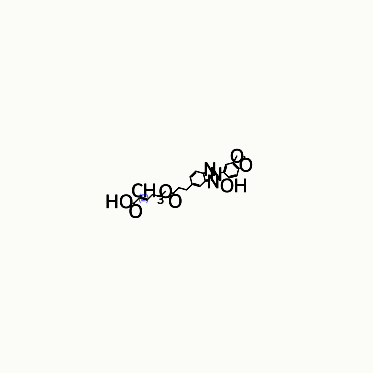 C/C(=C\CCOC(=O)CCc1ccc2nn(-c3cc4c(cc3O)OCO4)nc2c1)C(=O)O